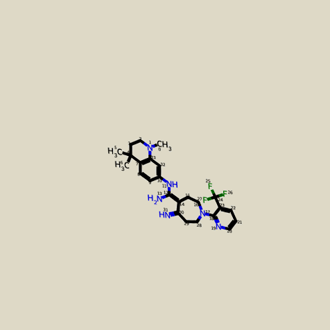 CN1CCC(C)(C)c2ccc(N/C(N)=C3\CCN(c4ncccc4C(F)(F)F)CCC3=N)cc21